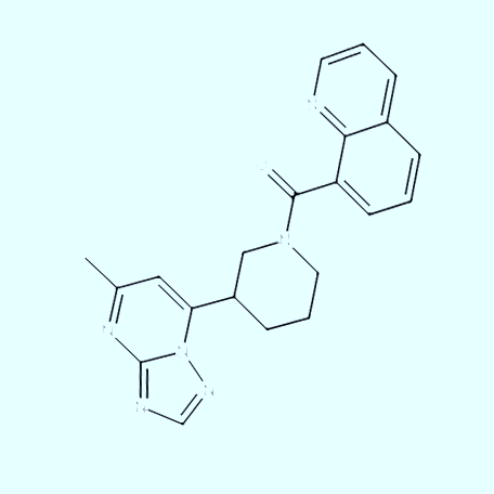 Cc1cc(C2CCCN(C(=O)c3cccc4cccnc34)C2)n2ncnc2n1